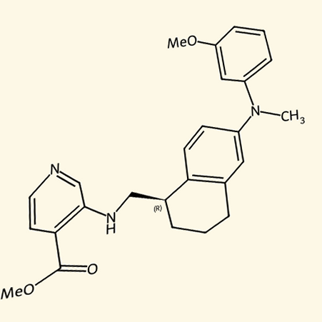 COC(=O)c1ccncc1NC[C@@H]1CCCc2cc(N(C)c3cccc(OC)c3)ccc21